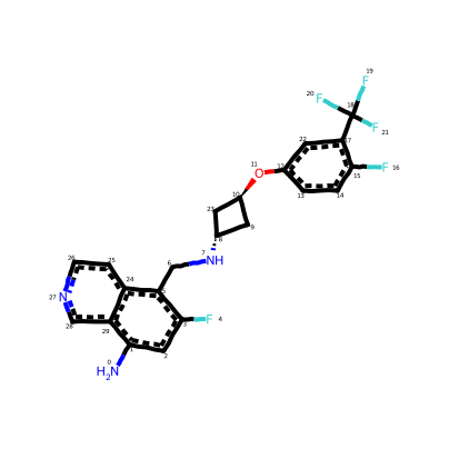 Nc1cc(F)c(CN[C@H]2C[C@H](Oc3ccc(F)c(C(F)(F)F)c3)C2)c2ccncc12